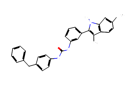 CCn1c(-c2cccc(NC(=O)Nc3ccc(Cc4ccccc4)cc3)c2)c(C#N)c2ccc(OC)cc21